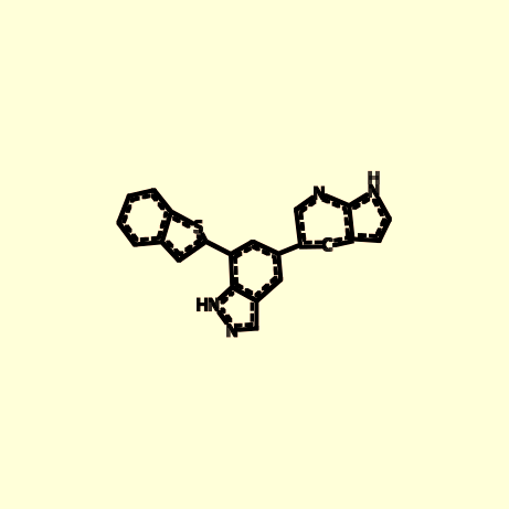 c1ccc2sc(-c3cc(-c4cnc5[nH]ccc5c4)cc4cn[nH]c34)cc2c1